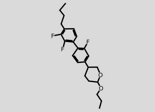 CCCCc1ccc(-c2ccc(C3CCC(OCCC)OC3)cc2F)c(F)c1F